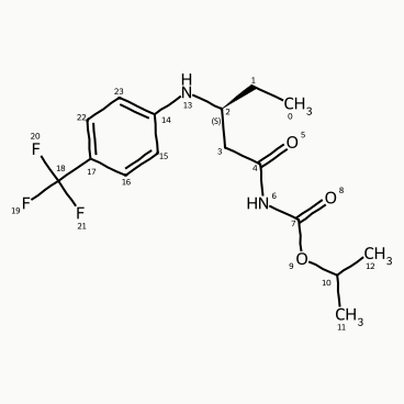 CC[C@@H](CC(=O)NC(=O)OC(C)C)Nc1ccc(C(F)(F)F)cc1